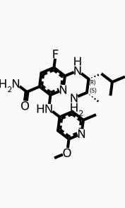 COc1cc(Nc2nc(N[C@H](CC(C)C)[C@H](C)N)c(F)cc2C(N)=O)cc(C)n1